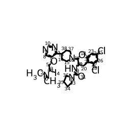 CN(C)[C@H](I)COc1cncnc1C1CCN(C(=O)[C@@H](Cc2ccc(Cl)cc2Cl)NC(=O)N2CCCC2)CC1